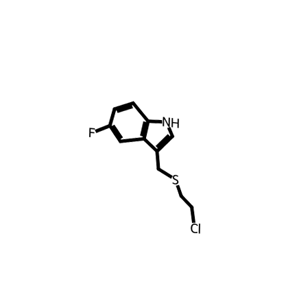 Fc1ccc2[nH]cc(CSCCCl)c2c1